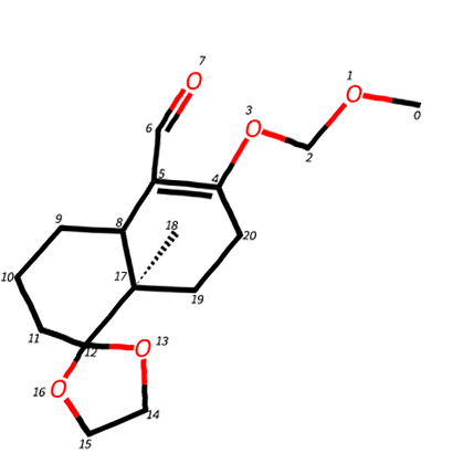 COCOC1=C(C=O)C2CCCC3(OCCO3)[C@]2(C)CC1